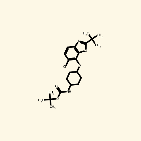 CC(C)(C)OC(=O)NC1CCC(Sc2c(Cl)ccc3nc(C(C)(C)C)oc23)CC1